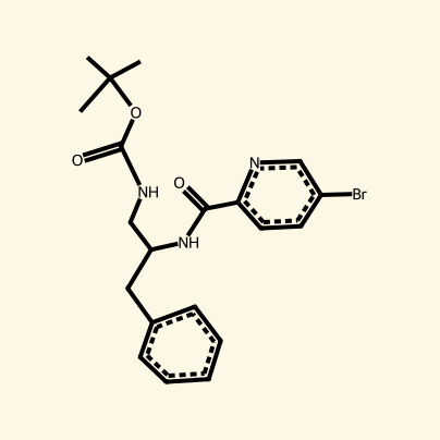 CC(C)(C)OC(=O)NCC(Cc1ccccc1)NC(=O)c1ccc(Br)cn1